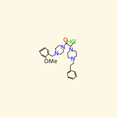 COc1ccccc1CN1CCN(C(=O)C(C)N2CCN(CCc3ccccc3)CC2)CC1.Cl